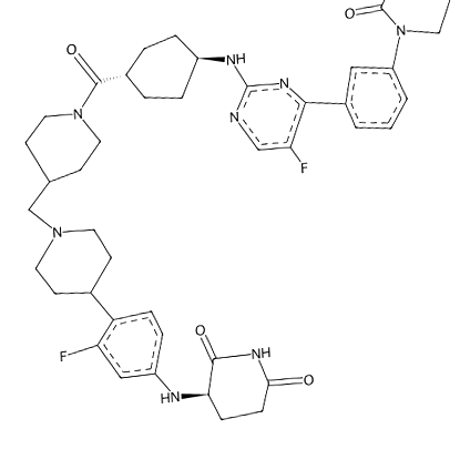 O=C1CC[C@@H](Nc2ccc(C3CCN(CC4CCN(C(=O)[C@H]5CC[C@H](Nc6ncc(F)c(-c7cccc(N8CCCCC8=O)c7)n6)CC5)CC4)CC3)c(F)c2)C(=O)N1